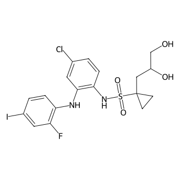 O=S(=O)(Nc1ccc(Cl)cc1Nc1ccc(I)cc1F)C1(CC(O)CO)CC1